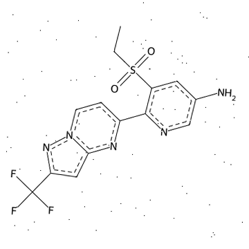 CCS(=O)(=O)c1cc(N)cnc1-c1ccn2nc(C(F)(F)F)cc2n1